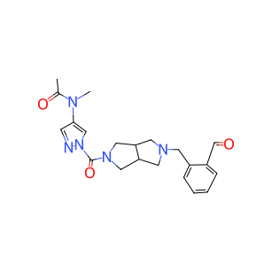 CC(=O)N(C)c1cnn(C(=O)N2CC3CN(Cc4ccccc4C=O)CC3C2)c1